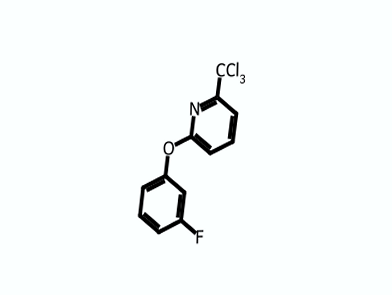 Fc1cccc(Oc2cccc(C(Cl)(Cl)Cl)n2)c1